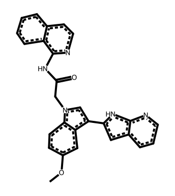 COc1ccc2c(c1)c(-c1cc3cccnc3[nH]1)cn2CC(=O)Nc1nccc2ccccc12